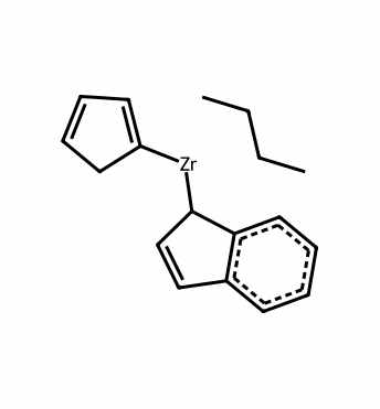 C1=CC[C]([Zr][CH]2C=Cc3ccccc32)=C1.CCCC